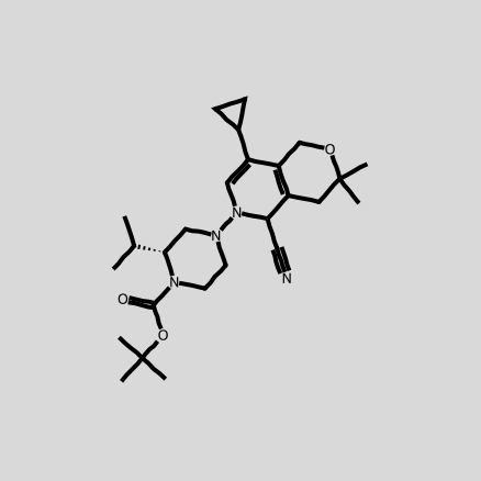 CC(C)[C@@H]1CN(N2C=C(C3CC3)C3=C(CC(C)(C)OC3)C2C#N)CCN1C(=O)OC(C)(C)C